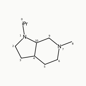 CC(C)N1CCC2CCN(C)CC21